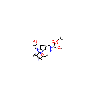 C/C=C(\C=C(\C)C(=O)CC)c1nc2cc(CNC(COC)C(=O)OCC(C)C)ccc2n1CC1CCOC1